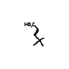 CC(C)(C)C=CC(=O)O